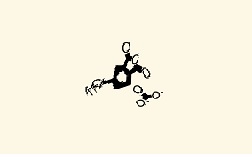 O=C([O-])[O-].O=C1OC(=O)c2cc(Cl)ccc21.[K+].[K+]